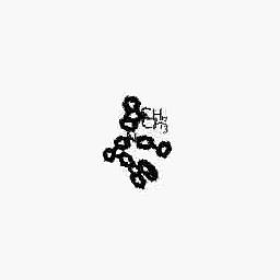 CC1(C)c2ccccc2-c2ccc(N(c3ccc(-c4ccccc4)cc3)c3ccc(-c4ccccc4-c4ccc5c(c4)-c4ccccc4C54C5CC6CC(C5)CC4C6)cc3)cc21